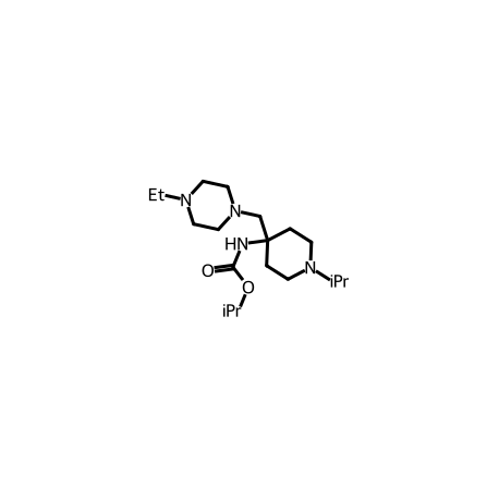 CCN1CCN(CC2(NC(=O)OC(C)C)CCN(C(C)C)CC2)CC1